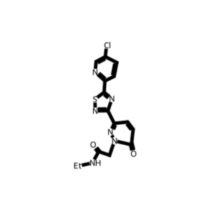 CCNC(=O)Cn1nc(-c2nsc(-c3ccc(Cl)cn3)n2)ccc1=O